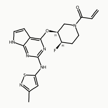 C=CC(=O)N1CC[C@@H](F)[C@@H](Oc2nc(Nc3cc(C)ns3)nc3[nH]ccc23)C1